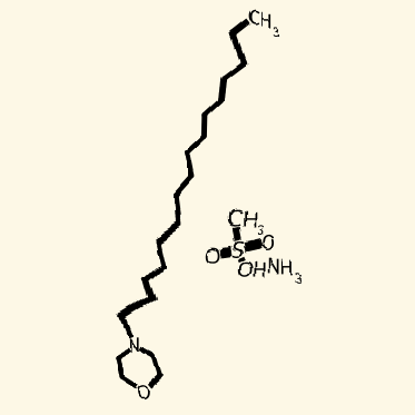 CCCCCCCCCCCCCCCCN1CCOCC1.CS(=O)(=O)O.N